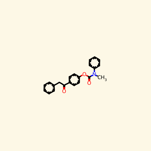 CN(C(=O)Oc1ccc(C(=O)Cc2ccccc2)cc1)c1ccccc1